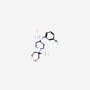 CC1(N2CCC(Nc3cc(C(F)(F)F)ccc3O)CC2)CCOCC1